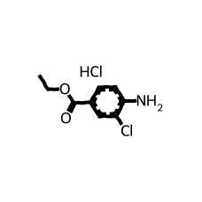 CCOC(=O)c1ccc(N)c(Cl)c1.Cl